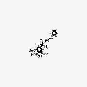 COc1cc(C(C)(C)C(=O)OCCCOc2ccccc2)cc(OC)c1B(O)O